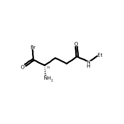 CCNC(=O)CC[C@H](N)C(=O)Br